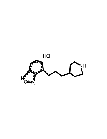 Cl.c1cc(CCCC2CCNCC2)c2nonc2c1